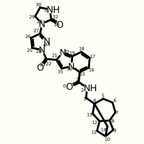 O=C(NCC12CCCC3CC(CC3C1)C2)c1cccc2nc(C(=O)n3ccc(N4CCNC4=O)n3)cn12